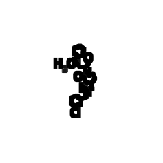 CN1C[C@H](N2CCc3cn(Cc4cccc(Cl)c4)nc3C2=O)COc2ccccc21